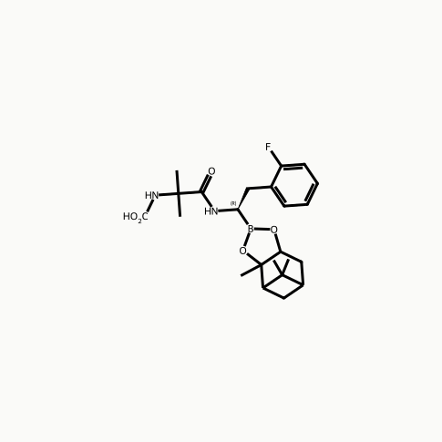 CC(C)(NC(=O)O)C(=O)N[C@@H](Cc1ccccc1F)B1OC2CC3CC(C3(C)C)C2(C)O1